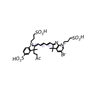 CC(=O)CCC1(C)\C(=C/C=C/C=C/C2=Nc3c(cc(Br)c[n+]3CCCS(=O)(=O)O)C2(C)C)N(CCCS(=O)(=O)O)c2ccc(S(=O)(=O)O)cc21